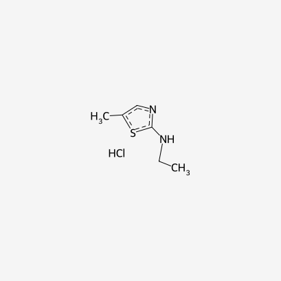 CCNc1ncc(C)s1.Cl